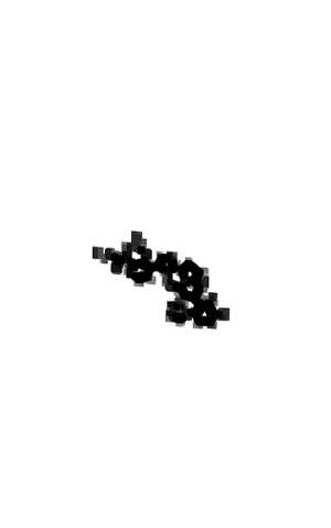 COc1c(-c2cnc([C@@H]3CC[C@H]4CC(c5c(-n6cnnn6)ccc(Cl)c5F)=CC(=O)N43)[nH]2)ccnc1NC(C)=O